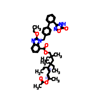 C=C/C(=C\C=C(/C)OC(C)=O)C(C)(CC)CC(C)(C)COC(=O)c1cccc2nc(OCC)n(Cc3ccc(-c4ccccc4-c4noc(=O)[nH]4)cc3)c12